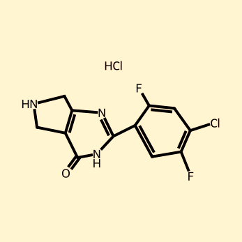 Cl.O=c1[nH]c(-c2cc(F)c(Cl)cc2F)nc2c1CNC2